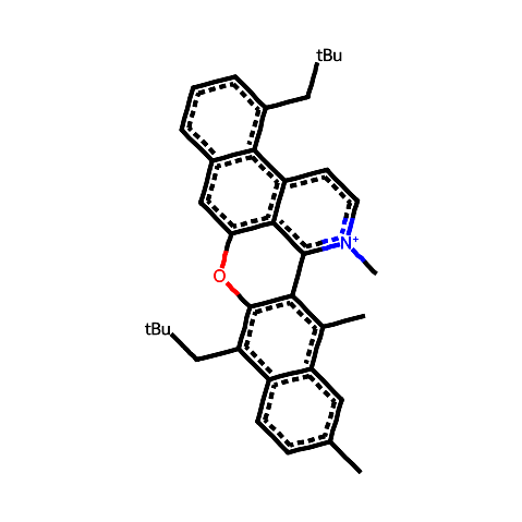 Cc1ccc2c(CC(C)(C)C)c3c(c(C)c2c1)-c1c2c(cc4cccc(CC(C)(C)C)c4c2cc[n+]1C)O3